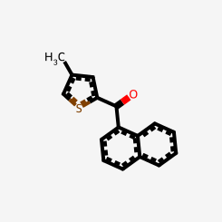 Cc1csc(C(=O)c2cccc3ccccc23)c1